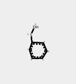 OSc1cc[c]cc1